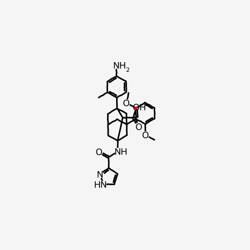 COc1cccc(OC)c1C12CC3CC(NC(=O)c4cc[nH]n4)(C1)C(C(=O)O)C(c1ccc(N)cc1C)(C3)C2